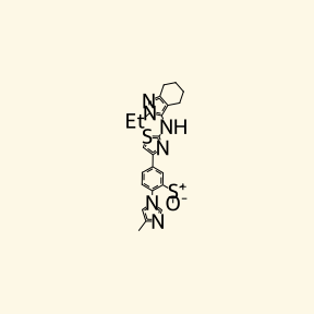 CCn1nc2c(c1Nc1nc(-c3ccc(-n4cnc(C)c4)c([S+](C)[O-])c3)cs1)CCCC2